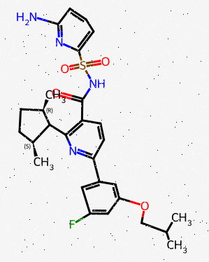 CC(C)COc1cc(F)cc(-c2ccc(C(=O)NS(=O)(=O)c3cccc(N)n3)c(C3[C@H](C)CC[C@@H]3C)n2)c1